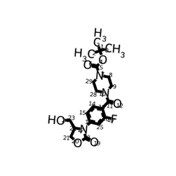 CC(C)(C)OC(=O)N1CCN(C(=O)c2ccc(N3C(=O)OCC3CO)cc2F)CC1